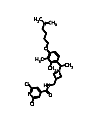 Cc1c(OCCCCN(C)C)ccc(C(C)N2CC(CNC(=O)c3cc(Cl)nc(Cl)c3)C2)c1C